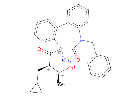 CCCC[C@H](O)[C@@H](CC1CC1)C(=O)[C@]1(N)C(=O)N(Cc2ccccc2)c2ccccc2-c2ccccc21